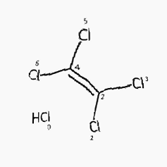 Cl.ClC(Cl)=C(Cl)Cl